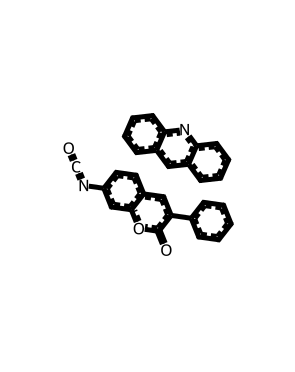 O=C=Nc1ccc2cc(-c3ccccc3)c(=O)oc2c1.c1ccc2nc3ccccc3cc2c1